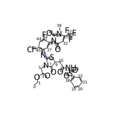 CCOC(=O)CN1C(=O)C(CC(=O)NS(=O)(=O)c2ccccc2)S/C1=N\c1cc(-n2c(=O)cc(C(F)(F)F)n(C)c2=O)c(F)cc1Cl